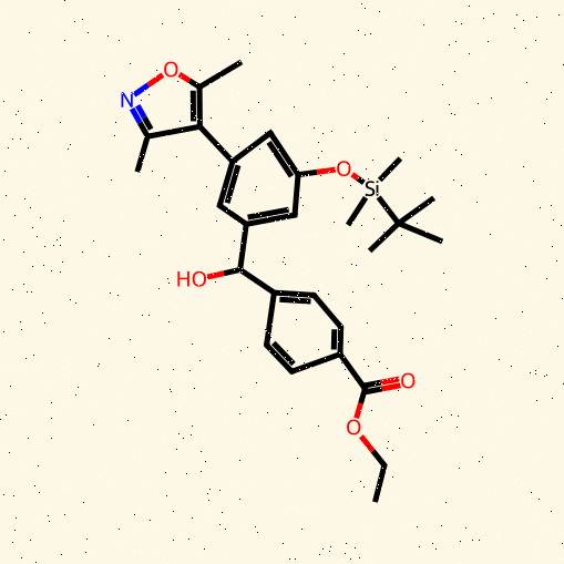 CCOC(=O)c1ccc(C(O)c2cc(O[Si](C)(C)C(C)(C)C)cc(-c3c(C)noc3C)c2)cc1